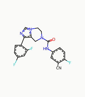 N#Cc1cc(NC(=O)N2CCn3cnc(-c4ccc(F)cc4F)c3C2)ccc1F